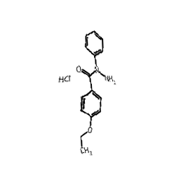 CCOc1ccc(C(=O)N(N)c2ccccc2)cc1.Cl